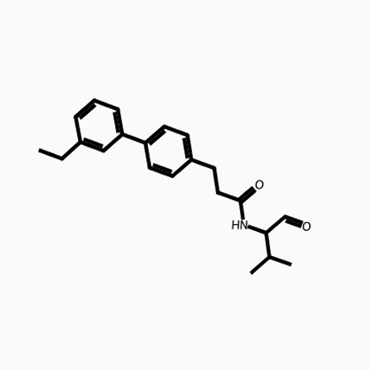 CCc1cccc(-c2ccc(CCC(=O)NC(C=O)C(C)C)cc2)c1